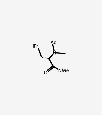 CNC(=O)[C@H](CC(C)C)N(C)C(C)=O